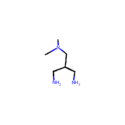 CN(C)CC(CN)CN